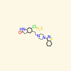 O=C1Cc2cc(CCN3CCN(c4nsc5ccccc45)CC3)c(Cl)cc2N1.S